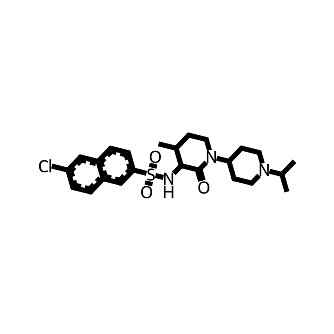 CC1CCN(C2CCN(C(C)C)CC2)C(=O)C1NS(=O)(=O)c1ccc2cc(Cl)ccc2c1